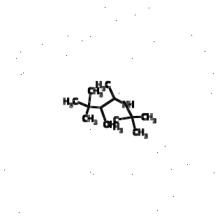 CC(NC(C)(C)C)C(O)C(C)(C)C